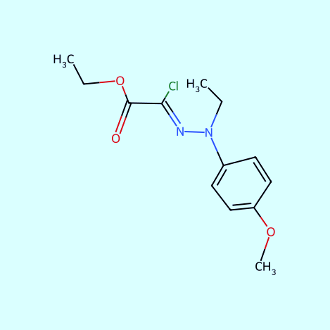 CCOC(=O)/C(Cl)=N/N(CC)c1ccc(OC)cc1